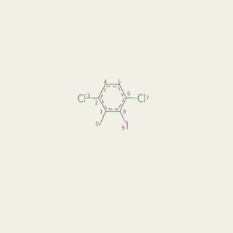 Cc1c(Cl)ccc(Cl)c1I